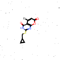 CCc1cc(=O)oc2nc(SCC3CC3)[nH]c(=O)c12